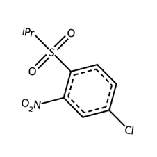 CC(C)S(=O)(=O)c1ccc(Cl)cc1[N+](=O)[O-]